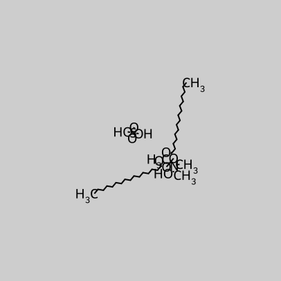 CCCCCCCCCCCCCCCC(=O)OC(C)(OC(=O)CCCCCCCCCCCCCCC)N(C)C(C)O.O=S(=O)(O)O